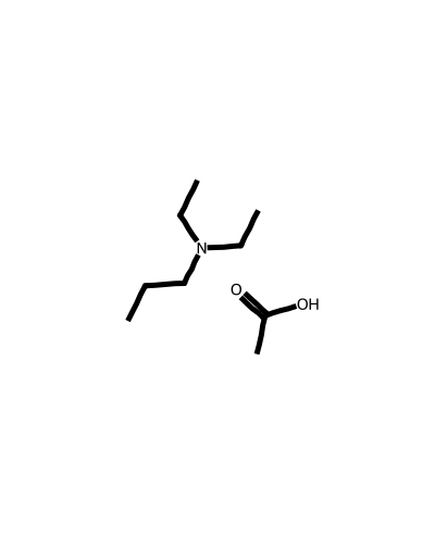 CC(=O)O.CCCN(CC)CC